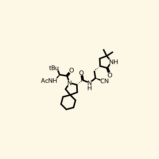 CC(=O)N[C@H](C(=O)N1CC2(CCCCC2)C[C@H]1C(=O)N[C@H](C#N)C[C@@H]1CC(C)(C)NC1=O)C(C)(C)C